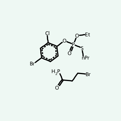 CCCSP(=O)(OCC)Oc1ccc(Br)cc1Cl.O=C(P)CCBr